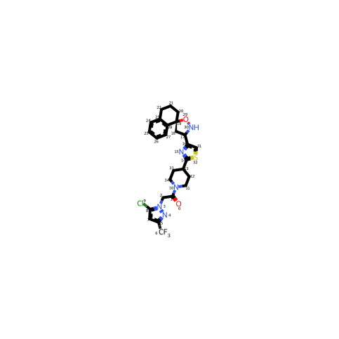 O=C(Cn1nc(C(F)(F)F)cc1Cl)N1CCC(c2nc(C3C[C@@]4(CCCc5ccccc54)ON3)cs2)CC1